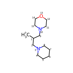 CC(CN1CCCCC1)CN1CCOCC1